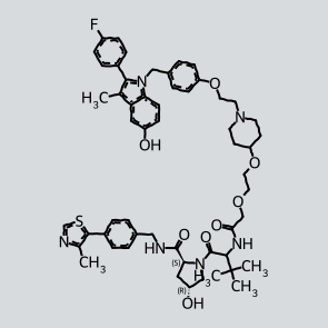 Cc1ncsc1-c1ccc(CNC(=O)[C@@H]2C[C@@H](O)CN2C(=O)C(NC(=O)COCCOC2CCN(CCOc3ccc(Cn4c(-c5ccc(F)cc5)c(C)c5cc(O)ccc54)cc3)CC2)C(C)(C)C)cc1